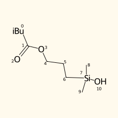 CCC(C)C(=O)OCCC[Si](C)(C)O